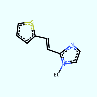 CCn1ccnc1C=Cc1cccs1